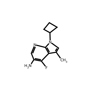 Cc1cn(C2CCC2)c2ncc(N)c(F)c12